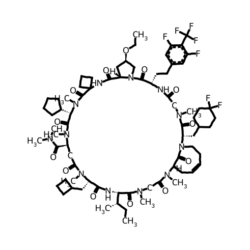 CCO[C@@H]1C[C@H]2C(=O)NC3(CCC3)C(=O)N(C)[C@@H](C3CCCC3)C(=O)N(C)[C@H](C(=O)N(C)C)CC(=O)N(C)[C@@H](CC3CCC3)C(=O)N[C@@H]([C@@H](C)CC)C(=O)N(C)CC(=O)N(C)[C@H]3C/C=C\CCN(C3=O)[C@@H](CC3CCC(F)(F)CC3)C(=O)N(C)CC(=O)N[C@@H](CCc3cc(F)c(C(F)(F)F)c(F)c3)C(=O)N2C1